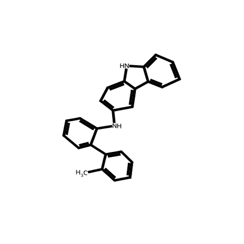 Cc1ccccc1-c1ccccc1Nc1ccc2[nH]c3ccccc3c2c1